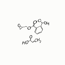 C=CC(=O)O.O=C(O)c1ccccc1C(=O)OCC1CO1